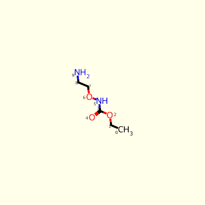 CCOC(=O)NOCCN